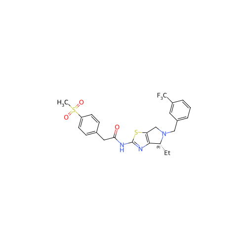 CC[C@@H]1c2nc(NC(=O)Cc3ccc(S(C)(=O)=O)cc3)sc2CN1Cc1cccc(C(F)(F)F)c1